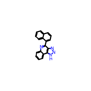 c1ccc2c(-c3nc4ccccc4c4[nH]nnc34)cccc2c1